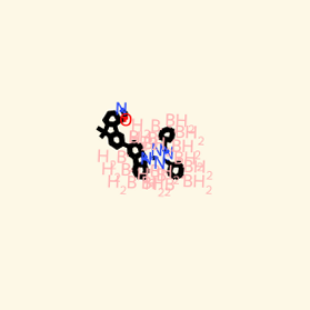 Bc1c(B)c(B)c(-c2nc(-c3c(B)c(B)c(B)c(B)c3B)nc(-n3c4c(B)c(B)c(B)c(B)c4c4c(B)c(-c5ccc6c(c5)-c5c(ccc7ncoc57)C6(C)C)c(B)c(B)c43)n2)c(B)c1B